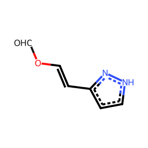 O=COC=Cc1cc[nH]n1